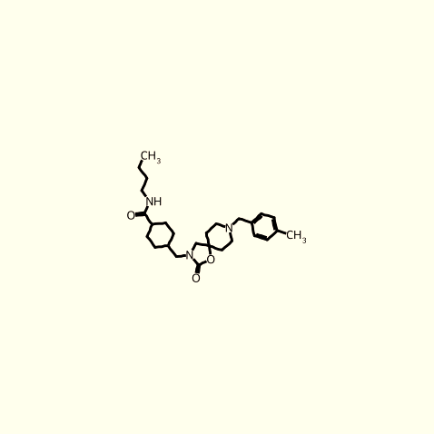 CCCCNC(=O)C1CCC(CN2CC3(CCN(Cc4ccc(C)cc4)CC3)OC2=O)CC1